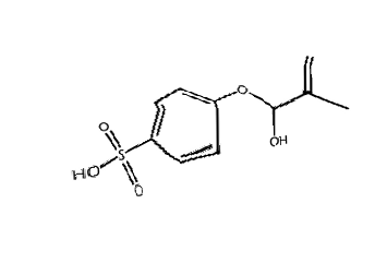 C=C(C)C(O)Oc1ccc(S(=O)(=O)O)cc1